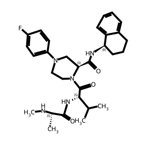 CN[C@@H](C)C(=O)N[C@H](C(=O)N1CCN(c2ccc(F)cc2)C[C@H]1C(=O)N[C@@H]1CCCc2ccccc21)C(C)C